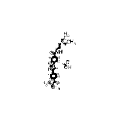 CCN(CC)CCCNC(=O)c1ccc2c(c1)sc1nc(-c3ccc(C(=O)N(C)C)cc3)cn12.O=CO